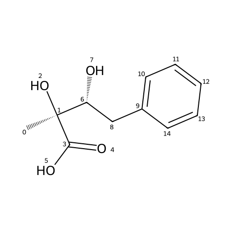 C[C@@](O)(C(=O)O)[C@H](O)Cc1ccccc1